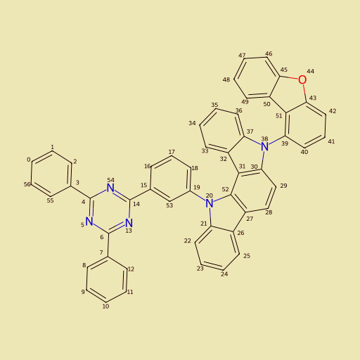 c1ccc(-c2nc(-c3ccccc3)nc(-c3cccc(-n4c5ccccc5c5ccc6c(c7ccccc7n6-c6cccc7oc8ccccc8c67)c54)c3)n2)cc1